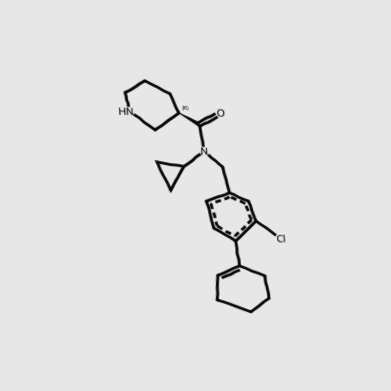 O=C([C@@H]1CCCNC1)N(Cc1ccc(C2=CCCCC2)c(Cl)c1)C1CC1